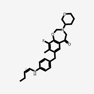 CC/C=C\Nc1ccc(Cc2cc3c(c(F)c2C)OCN(C2CCCOC2)CC3=O)cc1